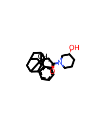 CC1C2CC3CC1CC(C2)C3(CC(=O)N1CCC[C@@H](O)C1)c1ccccc1